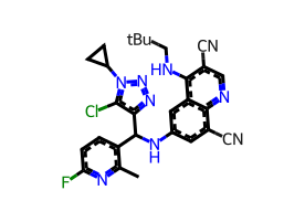 Cc1nc(F)ccc1C(Nc1cc(C#N)c2ncc(C#N)c(NCC(C)(C)C)c2c1)c1nnn(C2CC2)c1Cl